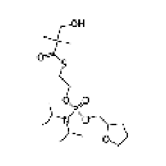 CC(C)N(C(C)C)P(=O)(OCCSC(=O)C(C)(C)CO)OCC1CCCO1